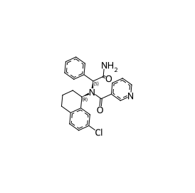 NC(=O)[C@H](c1ccccc1)N(C(=O)c1cccnc1)[C@@H]1CCCc2ccc(Cl)cc21